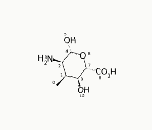 C[C@H]1[C@@H](N)[C@H](O)O[C@H](C(=O)O)[C@H]1O